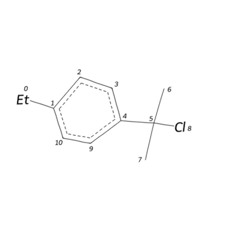 CCc1ccc(C(C)(C)Cl)cc1